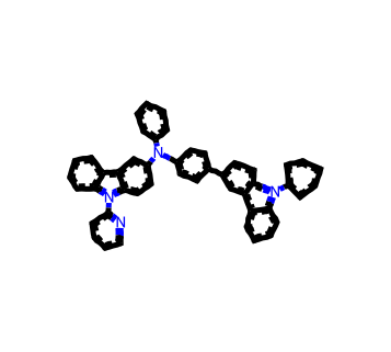 c1ccc(N(c2ccc(-c3ccc4c(c3)c3ccccc3n4-c3ccccc3)cc2)c2ccc3c(c2)c2ccccc2n3-c2ccccn2)cc1